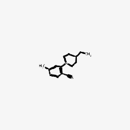 CCC1CCN(c2cc(C)ccc2C#N)CC1